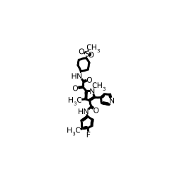 Cc1cc(NC(=O)c2c(C)c(C(=O)C(=O)N[C@H]3CC[C@@H](S(C)(=O)=O)CC3)n(C)c2-c2ccncc2)ccc1F